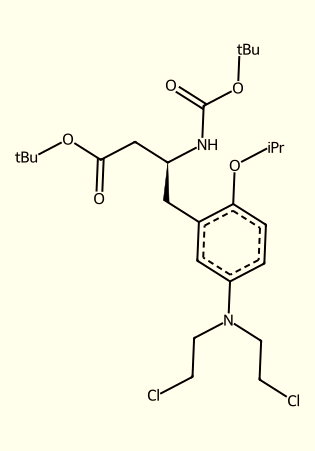 CC(C)Oc1ccc(N(CCCl)CCCl)cc1C[C@@H](CC(=O)OC(C)(C)C)NC(=O)OC(C)(C)C